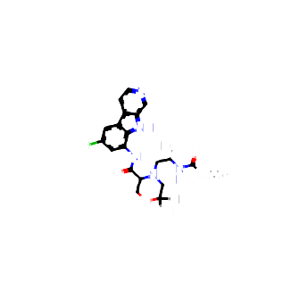 COC(=O)N[C@@H](C)CN1CC(C)(C)OCC1C(=O)Nc1cc(Cl)cc2c1[nH]c1cnccc12